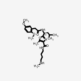 CNCCCCNC(=O)c1nc([C@H](CC(C)C)NC(=O)Cc2cc(OC)ccc2OC)oc1C